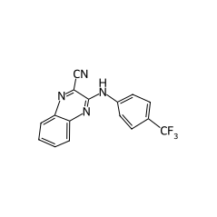 N#Cc1nc2ccccc2nc1Nc1ccc(C(F)(F)F)cc1